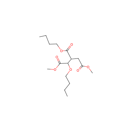 CCCCOC(=O)C(CC(=O)OC)C(OCCCC)C(=O)OC